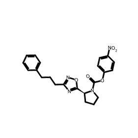 O=C(Oc1ccc([N+](=O)[O-])cc1)N1CCC[C@H]1c1nc(CCCc2ccccc2)no1